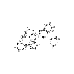 c1ccc(-c2nc(-n3c4cccc5oc6ccccc6c6cccc3c6c54)nc3ccccc23)cc1